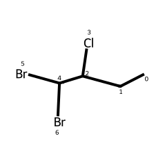 CCC(Cl)[C](Br)Br